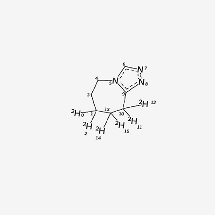 [2H]C1([2H])CCn2cnnc2C([2H])([2H])C1([2H])[2H]